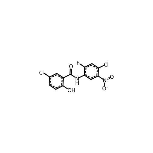 O=C(Nc1cc([N+](=O)[O-])c(Cl)cc1F)c1cc(Cl)ccc1O